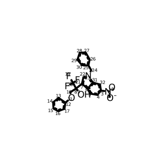 O=[N+]([O-])c1ccc2c(C(O)(COc3ccccc3)C(F)(F)F)cn(Cc3ccccc3)c2c1